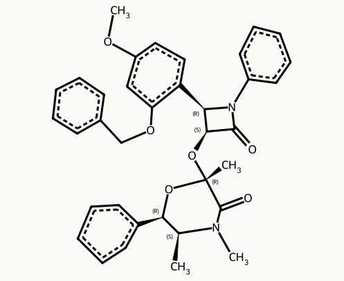 COc1ccc([C@@H]2[C@H](O[C@@]3(C)O[C@H](c4ccccc4)[C@H](C)N(C)C3=O)C(=O)N2c2ccccc2)c(OCc2ccccc2)c1